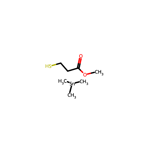 COC(=O)CCS.[CH3][Sn]([CH3])[CH3]